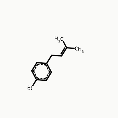 CCc1ccc(CC=C(C)C)cc1